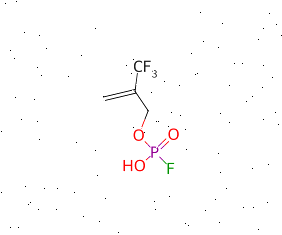 C=C(COP(=O)(O)F)C(F)(F)F